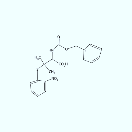 CC(C)(Sc1ccccc1[N+](=O)[O-])C(NC(=O)OCc1ccccc1)C(=O)O